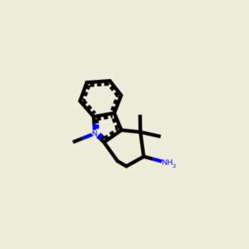 Cn1c2c(c3ccccc31)C(C)(C)C(N)CC2